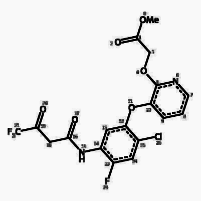 COC(=O)COc1ncccc1Oc1cc(NC(=O)CC(=O)C(F)(F)F)c(F)cc1Cl